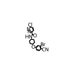 N#Cc1ccc(O[C@H]2CC[C@H](NC(=O)c3ccc(Cl)nn3)CC2)cc1Br